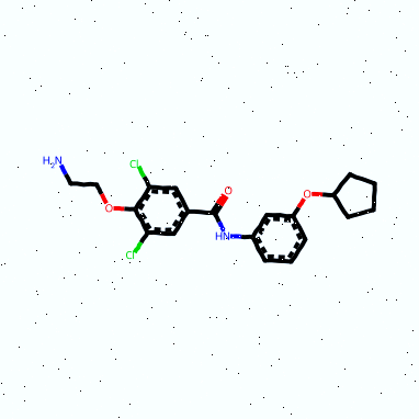 NCCOc1c(Cl)cc(C(=O)Nc2cccc(OC3CCCC3)c2)cc1Cl